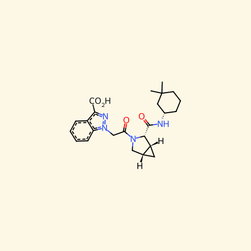 CC1(C)CCC[C@H](NC(=O)[C@@H]2[C@@H]3C[C@@H]3CN2C(=O)Cn2nc(C(=O)O)c3ccccc32)C1